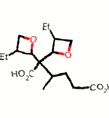 CCC1COC1C(C(=O)O)(C(C)CCC(=O)O)C1OCC1CC